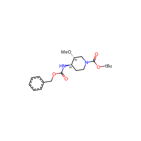 CO[C@@H]1CN(C(=O)OC(C)(C)C)CC[C@H]1NC(=O)OCc1ccccc1